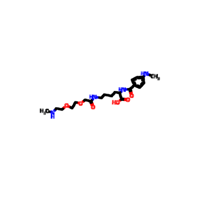 CNCCOCCOCC(=O)NCCCCC(NC(=O)c1ccc(NC)cc1)C(=O)O